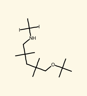 CC(C)(CNC(C)(I)I)CC(C)(C)COC(C)(C)C